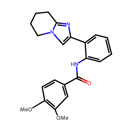 COc1ccc(C(=O)Nc2ccccc2-c2cn3c(n2)CCCC3)cc1OC